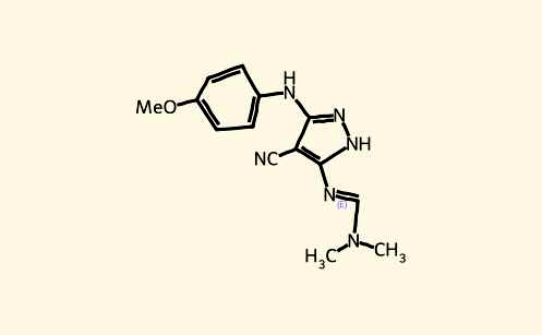 COc1ccc(Nc2n[nH]c(/N=C/N(C)C)c2C#N)cc1